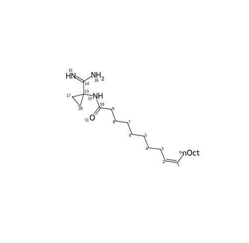 CCCCCCCC/C=C\CCCCCCCC(=O)NC1(C(=N)N)CC1